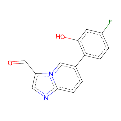 O=Cc1cnc2ccc(-c3ccc(F)cc3O)cn12